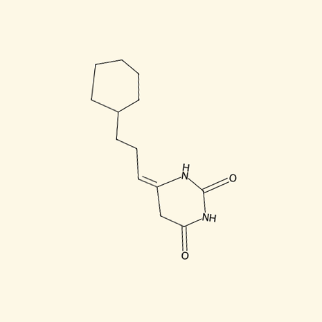 O=C1CC(=CCCC2CCCCC2)NC(=O)N1